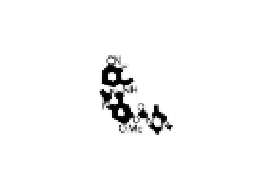 COc1cc2nc(C)nc(NC(C)c3cccc(C#N)c3F)c2cc1OC(=O)N1CCN(C)CC1C